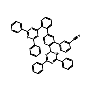 N#Cc1cccc(-c2cc(-c3ccccc3-c3nc(-c4ccccc4)nc(-c4ccccc4)n3)ccc2C2N=C(c3ccccc3)N=C(c3ccccc3)N2)c1